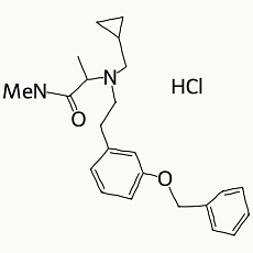 CNC(=O)C(C)N(CCc1cccc(OCc2ccccc2)c1)CC1CC1.Cl